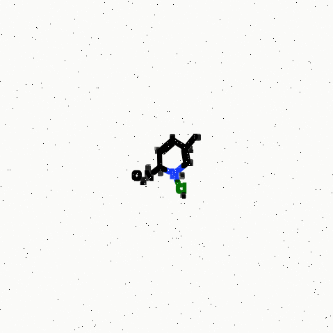 CC1=CN(Cl)C([N+](=O)[O-])C=C1